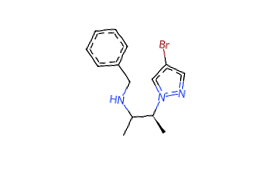 CC(NCc1ccccc1)[C@H](C)n1cc(Br)cn1